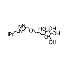 CC(C)CCn1cc(COCCCCC2OC(CO)C(O)C(O)C2O)nn1